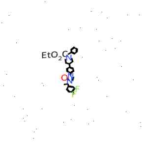 CCOC(=O)C(c1ccccc1)N1CCC(c2ccc(-n3ccn(C(C)c4ccc(F)c(F)c4)c3=O)cc2)CC1